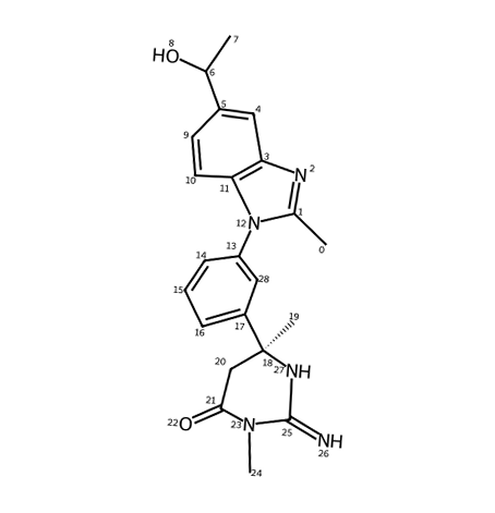 Cc1nc2cc(C(C)O)ccc2n1-c1cccc([C@]2(C)CC(=O)N(C)C(=N)N2)c1